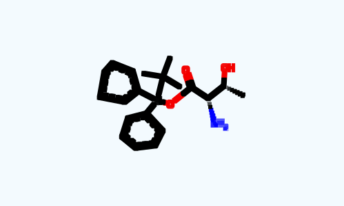 C[C@@H](O)[C@H](N)C(=O)O[Si](c1ccccc1)(c1ccccc1)C(C)(C)C